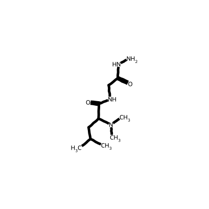 CC(C)CC(C(=O)NCC(=O)NN)N(C)C